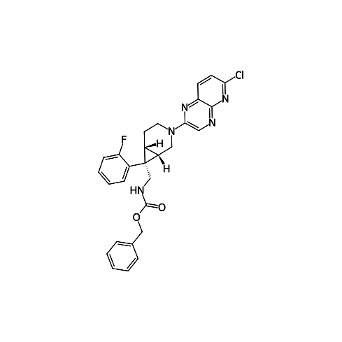 O=C(NC[C@]1(c2ccccc2F)[C@@H]2CCN(c3cnc4nc(Cl)ccc4n3)C[C@@H]21)OCc1ccccc1